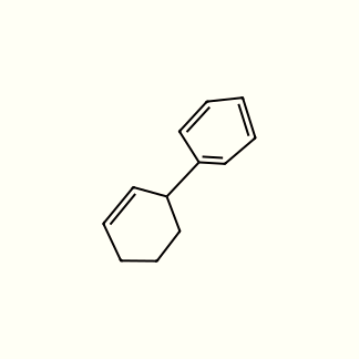 C1=CC(c2ccccc2)CCC1